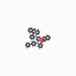 c1ccc(-c2ccc(N(c3ccccc3-c3ccccc3)c3cc(N(c4ccccc4)c4ccccc4-c4cccc5ccccc45)cc4c3oc3cc5ccccc5cc34)cc2)cc1